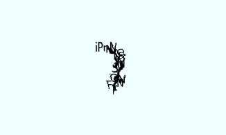 CC(C)n1cc(N(Cc2ncc(-c3nnc(C(F)F)o3)s2)S(C)(=O)=O)cn1